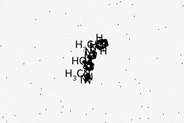 Cc1nnnn1-c1ccc(-c2ccc(N(C)[C@@H]3C[C@H]4CC[C@@H](C3)N4)nn2)c(O)c1